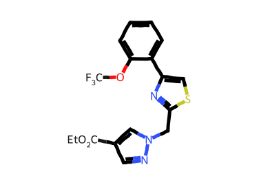 CCOC(=O)c1cnn(Cc2nc(-c3ccccc3OC(F)(F)F)cs2)c1